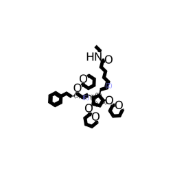 CCNC(=O)CCC/C=C\C[C@@H]1[C@@H](/C=C/[C@H](CCc2ccccc2)OC2CCCCO2)[C@H](OC2CCCCO2)C[C@@H]1OC1CCCCO1